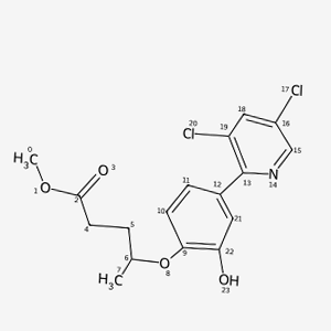 COC(=O)CCC(C)Oc1ccc(-c2ncc(Cl)cc2Cl)cc1O